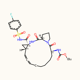 CC(C)(C)OC(=O)N[C@H]1CCCCCC=C=C[C@@H]2C[C@@]2(C(=O)NS(=O)(=O)c2ccc(F)cc2)NC(=O)[C@@H]2CCCN2C1=O